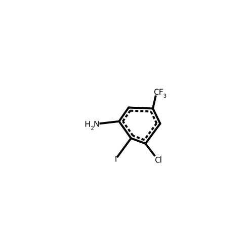 Nc1cc(C(F)(F)F)cc(Cl)c1I